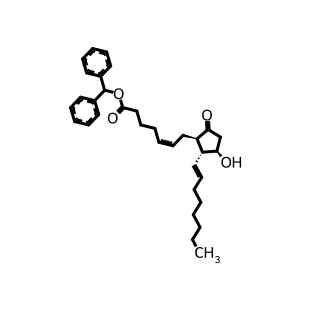 CCCCCC/C=C/[C@H]1[C@H](O)CC(=O)[C@@H]1C/C=C\CCCC(=O)OC(c1ccccc1)c1ccccc1